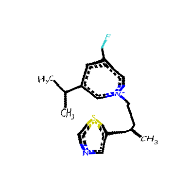 CC(C)c1cc(F)c[n+](CC(C)c2cncs2)c1